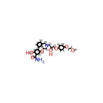 COCCOc1ccc(OCC(O)CN(CCOc2ccc(O)c(C(N)=O)c2)Cc2ccccc2)cc1